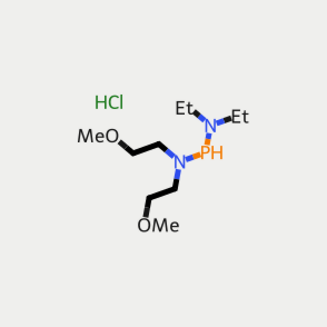 CCN(CC)PN(CCOC)CCOC.Cl